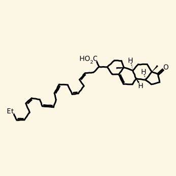 CC/C=C\C/C=C\C/C=C\C/C=C\C/C=C\C/C=C\CC(C(=O)O)C1CC[C@@]2(C)C(=CC[C@@H]3[C@@H]2CC[C@]2(C)C(=O)CC[C@@H]32)C1